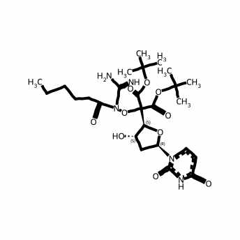 CCCCCC(=O)N(OC(C(=O)OC(C)(C)C)(C(=O)OC(C)(C)C)[C@H]1O[C@@H](n2ccc(=O)[nH]c2=O)C[C@@H]1O)C(=N)N